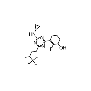 C[C@@H](CCc1nc(NC2CC2)nc(C2=C(F)C(O)CCC2)n1)C(F)(F)F